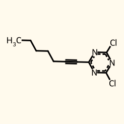 CCCCCC#Cc1nc(Cl)nc(Cl)n1